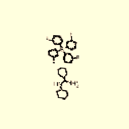 Fc1cccc([B-](c2cccc(F)c2)(c2cccc(F)c2)c2cccc(F)c2)c1.[NH2+]=C(NC1CCCCC1)C1CCCCC1